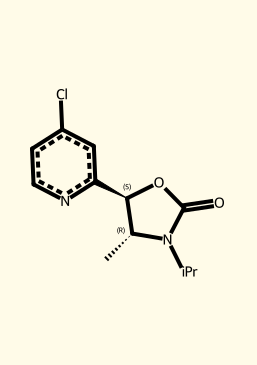 CC(C)N1C(=O)O[C@H](c2cc(Cl)ccn2)[C@H]1C